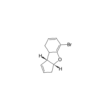 BrC1=C2O[C@@H]3CC=C[C@@H]3C2CC=C1